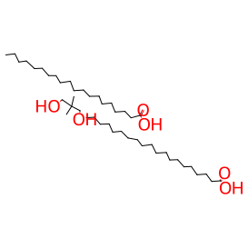 CC(C)(CO)CO.CCCCCCCCCCCCCCCCCCCC(=O)O.CCCCCCCCCCCCCCCCCCCC(=O)O